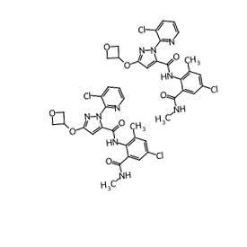 CNC(=O)c1cc(Cl)cc(C)c1NC(=O)c1cc(OC2COC2)nn1-c1ncccc1Cl.CNC(=O)c1cc(Cl)cc(C)c1NC(=O)c1cc(OC2COC2)nn1-c1ncccc1Cl